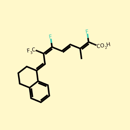 CC(/C=C/C(F)=C(\C=C1/CCCc2ccccc21)C(F)(F)F)=C(/F)C(=O)O